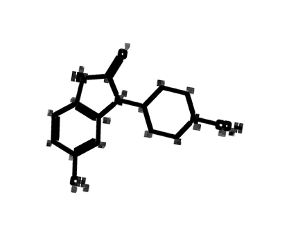 Cc1ccc2[nH]c(=O)n(C3CCN(C(=O)O)CC3)c2c1